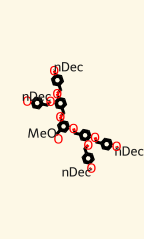 CCCCCCCCCCOc1ccc(COc2ccc(COc3cc(OCc4ccc(OCc5ccc(OCCCCCCCCCC)cc5)c(OCc5ccc(OCCCCCCCCCC)cc5)c4)cc(C(=O)OC)c3)cc2OCc2ccc(OCCCCCCCCCC)cc2)cc1